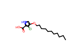 CCCCCCCCCCCOc1c[nH]c(C(=O)O)c1Cl